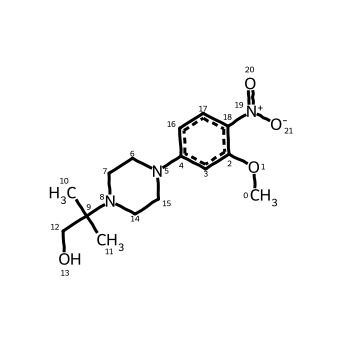 COc1cc(N2CCN(C(C)(C)CO)CC2)ccc1[N+](=O)[O-]